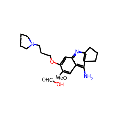 COc1cc2c(N)c3c(nc2cc1OCCCN1CCCC1)CCC3.O=CO